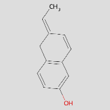 CC=C1C=Cc2cc(O)ccc2C1